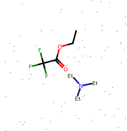 CCN(CC)CC.CCOC(=O)C(F)(F)F